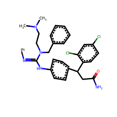 CC(C)/N=C(/Nc1ccc(C(CC(N)=O)c2ccc(Cl)cc2Cl)cc1)N(CCN(C)C)Cc1ccccc1